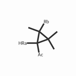 CC(=O)[C]1([RaH])C(C)(C)[C]1(C)[Rb]